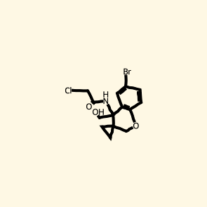 O=C(CCl)NC1(CO)c2cc(Br)ccc2OCC12CC2